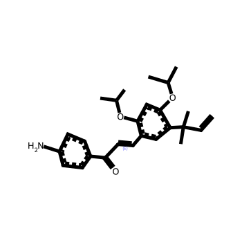 C=CC(C)(C)c1cc(/C=C/C(=O)c2ccc(N)cc2)c(OC(C)C)cc1OC(C)C